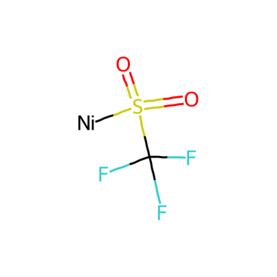 O=[S](=O)([Ni])C(F)(F)F